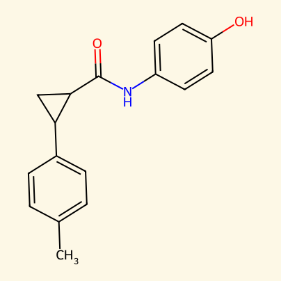 Cc1ccc(C2CC2C(=O)Nc2ccc(O)cc2)cc1